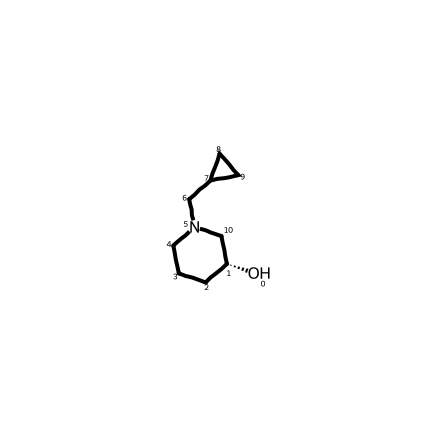 O[C@@H]1CCCN(CC2CC2)C1